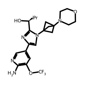 CC(C)[C@H](O)c1nc(-c2cnc(N)c(OC(F)(F)F)c2)cn1C12CC(N3CCOCC3)(C1)C2